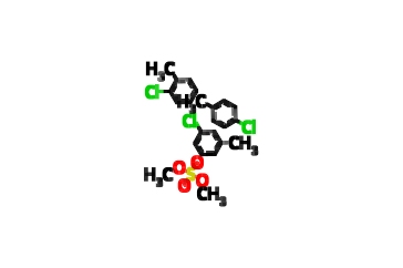 COS(=O)(=O)OC.Cc1ccc(Cl)cc1.Cc1cccc(Cl)c1.Cc1ccccc1Cl